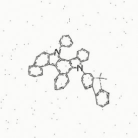 CC1(C)c2ccccc2-c2ccc(-n3c4ccccc4c4c3c3ccccc3c3c5c6ccccc6ccc5n(-c5ccccc5)c34)cc21